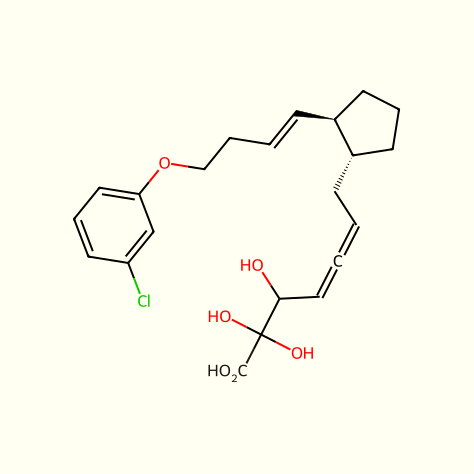 O=C(O)C(O)(O)C(O)C=C=CC[C@H]1CCC[C@@H]1/C=C/CCOc1cccc(Cl)c1